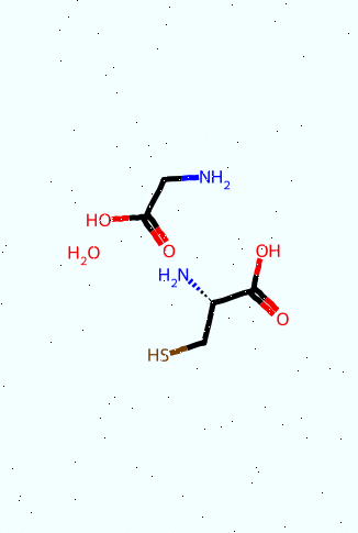 NCC(=O)O.N[C@@H](CS)C(=O)O.O